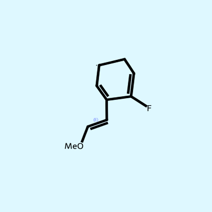 CO/C=C/C1=C[CH]CC=C1F